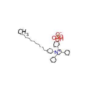 CCCCCCCCCCCCc1ccc(-[n+]2c(-c3ccccc3)cc(-c3ccccc3)cc2-c2ccccc2)cc1.O=S(=O)([O-])O